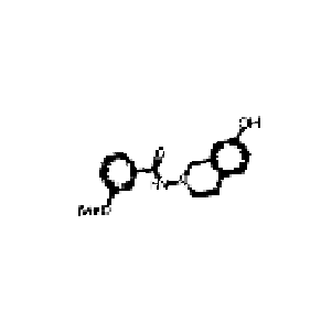 COc1cccc(C(=O)NN2CCc3ccc(O)cc3C2)c1